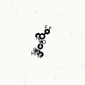 O=C(OC1CCC(c2ccc(F)c(F)c2)Cc2cccnc21)N1CCC(n2c(=O)[nH]c3ncccc32)CC1